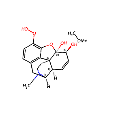 CN1CC[C@]23c4c5ccc(OO)c4O[C@@]2(O)[C@@H](O)C=C[C@H]3[C@H]1C5.COC